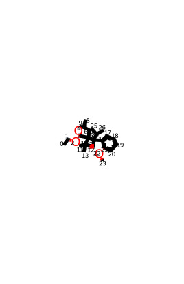 CCOC(=O)C(CC(C)C)(C(C)(C)C)C(C)(c1ccccc1OC)C(C)C